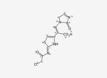 O=C(CCl)N=c1[nH]c(C(=NN2CC=NC2=O)C(=O)O)cs1